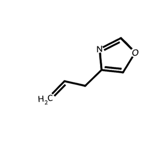 C=CCc1cocn1